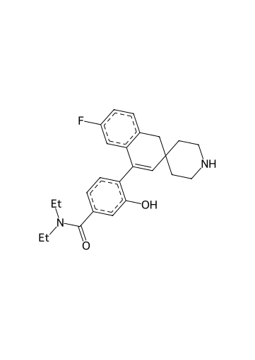 CCN(CC)C(=O)c1ccc(C2=CC3(CCNCC3)Cc3ccc(F)cc32)c(O)c1